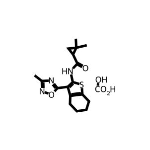 Cc1noc(-c2c(NC(=O)C3CC3(C)C)sc3c2CCCC3)n1.O=C(O)O